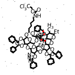 CCC1OC(OC2C(COC(=O)CCl)OC(OC3C(CC)OC(OC4C(COC(=O)CCl)OC(OCCCCCCNC(=O)OCC(Cl)(Cl)Cl)C(OC(=O)c5ccccc5)C4OCc4ccccc4)C(N=[N+]=[N-])C3OCc3ccccc3)C(OC(=O)c3ccccc3)C2OCc2ccccc2)C(N=[N+]=[N-])C(OCc2ccccc2)C1C